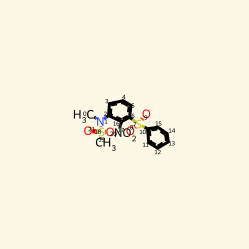 CN(c1cccc(S(=O)(=O)c2ccccc2)c1[N+](=O)[O-])S(C)(=O)=O